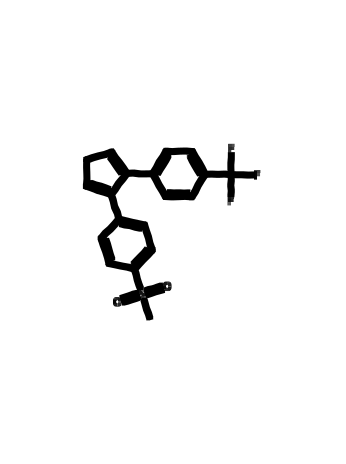 CS(=O)(=O)c1ccc(C2=CCC=C2c2ccc(C(F)(F)F)cc2)cc1